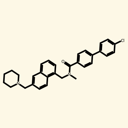 CN(Cc1cccc2cc(CN3CCCCC3)ccc12)C(=O)c1ccc(-c2ccc(Cl)cc2)cc1